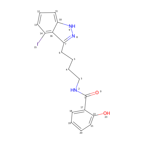 O=C(NCCCCc1n[nH]c2cccc(I)c12)c1ccccc1O